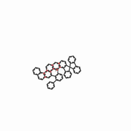 c1ccc(-c2ccccc2-c2c(-c3ccccc3)cccc2N(c2cccc(-c3cccc4ccccc34)c2)c2cccc3c2-c2ccccc2C32c3ccccc3-c3ccccc32)cc1